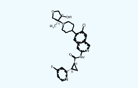 C[C@]1(N2CCC(c3cc4cc(NC(=O)[C@H]5C[C@@H]5c5cc(F)ccn5)ncc4cc3Cl)CC2)COC[C@H]1O